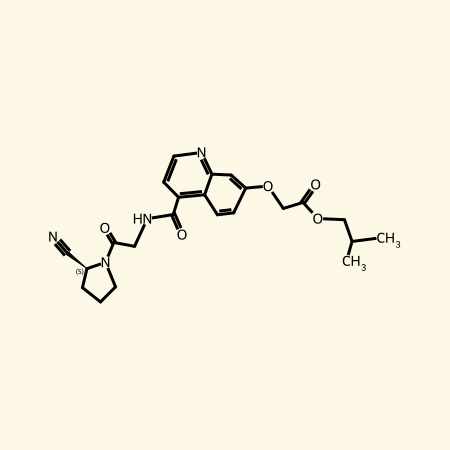 CC(C)COC(=O)COc1ccc2c(C(=O)NCC(=O)N3CCC[C@H]3C#N)ccnc2c1